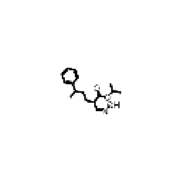 CC(C)OC(=O)C(/C=N\O)CCC(C)c1ccccc1